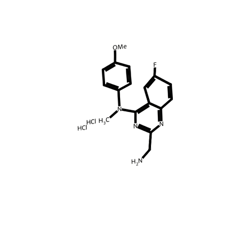 COc1ccc(N(C)c2nc(CN)nc3ccc(F)cc23)cc1.Cl.Cl